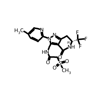 Cc1ccc(-n2nc3c(c2NC(=O)CS(C)(=O)=O)C(=O)N[C@@H](C(F)(F)F)C3)nc1